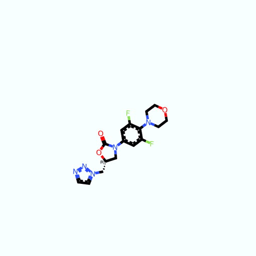 O=C1O[C@@H](Cn2ccnn2)CN1c1cc(F)c(N2CCOCC2)c(F)c1